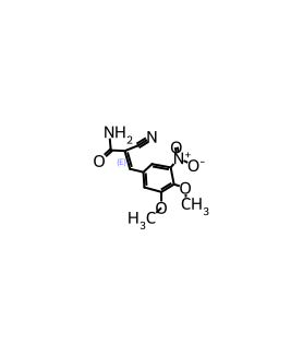 COc1cc(/C=C(\C#N)C(N)=O)cc([N+](=O)[O-])c1OC